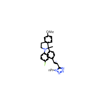 CCCn1nnnc1/C=C/c1ccc(C2(C)c3ccc(OC)cc3CCN2c2ccc(F)cc2)cc1